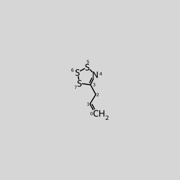 C=CCC1=NSSS1